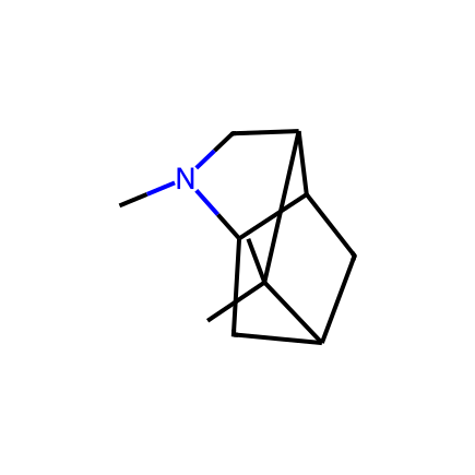 CN1CC2C3CC(CC31)C2(C)C